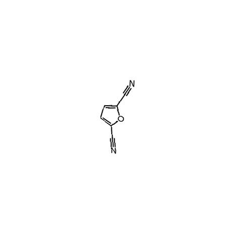 N#Cc1ccc(C#N)o1